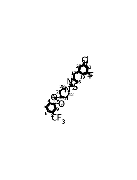 O=S(=O)(c1cccc(C(F)(F)F)c1)C1CCN(c2nc(Cc3cc(F)cc(Cl)c3)cs2)CC1